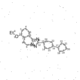 CCOc1cccc2c1ccn1nc(-c3ccc(-c4ccccc4)cc3)nc21